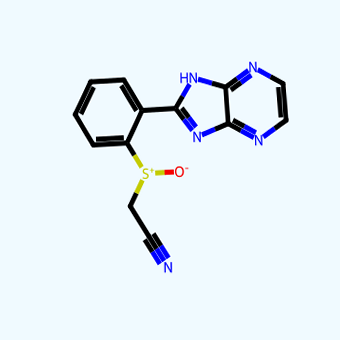 N#CC[S+]([O-])c1ccccc1-c1nc2nccnc2[nH]1